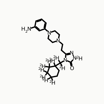 [2H]n1nc(CCN2CCN(c3cccc(N)c3)CC2)n(C([2H])([2H])C2([2H])CCC([2H])([2H])C([2H])([2H])C2([2H])[2H])c1=O